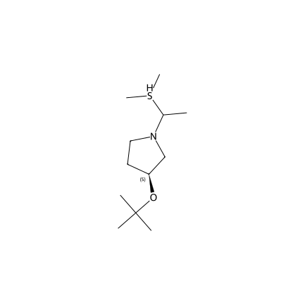 CC(N1CC[C@H](OC(C)(C)C)C1)[SH](C)C